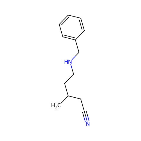 CC(CC#N)CCNCc1ccccc1